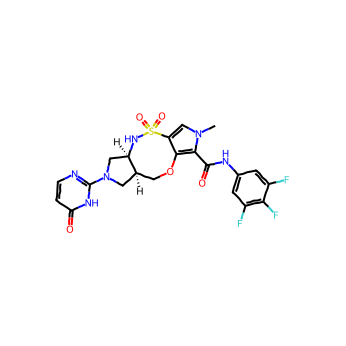 Cn1cc2c(c1C(=O)Nc1cc(F)c(F)c(F)c1)OC[C@H]1CN(c3nccc(=O)[nH]3)C[C@H]1NS2(=O)=O